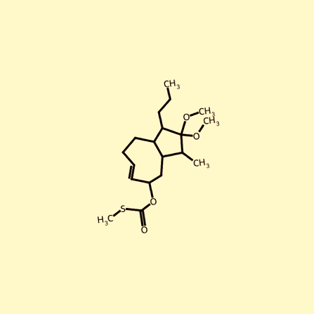 CCCC1C2CC/C=C/C(OC(=O)SC)CC2C(C)C1(OC)OC